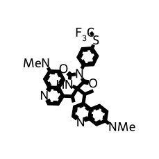 CNc1ccc2c(C(C)C3(C(C)c4ccnc5cc(NC)ccc45)NC(=O)N(c4ccc(SC(F)(F)F)cc4)C3=O)ccnc2c1